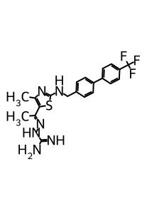 CC(=NNC(=N)N)c1sc(NCc2ccc(-c3ccc(C(F)(F)F)cc3)cc2)nc1C